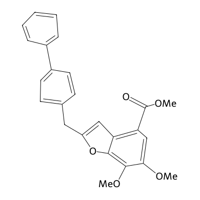 COC(=O)c1cc(OC)c(OC)c2oc(Cc3ccc(-c4ccccc4)cc3)cc12